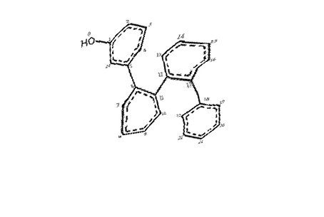 Oc1cccc(-c2ccccc2-c2ccccc2-c2ccccc2)c1